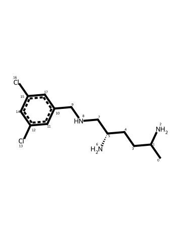 CC(N)CC[C@H](N)CNCc1cc(Cl)cc(Cl)c1